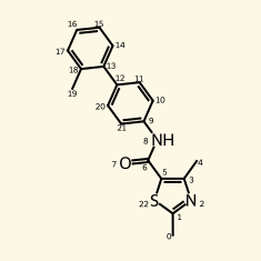 Cc1nc(C)c(C(=O)Nc2ccc(-c3ccccc3C)cc2)s1